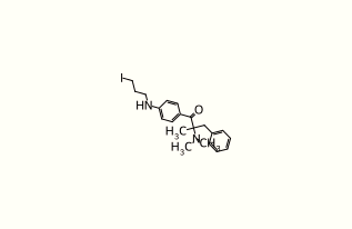 CN(C)C(C)(Cc1ccccc1)C(=O)c1ccc(NCCCI)cc1